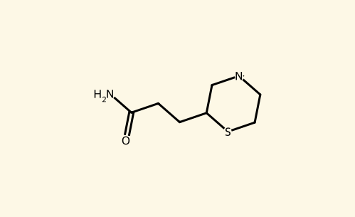 NC(=O)CCC1C[N]CCS1